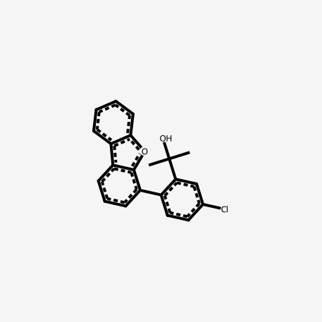 CC(C)(O)c1cc(Cl)ccc1-c1cccc2c1oc1ccccc12